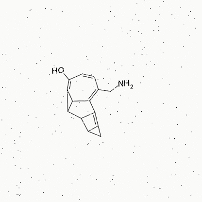 NCC1=C2C3=C4CC4C3C3C(=C(O)C=C1)C23